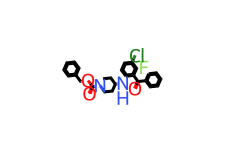 O=C(c1ccccc1F)c1cc(Cl)ccc1NC1CCN(C(=O)OCc2ccccc2)CC1